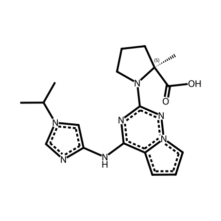 CC(C)n1cnc(Nc2nc(N3CCC[C@@]3(C)C(=O)O)nn3cccc23)c1